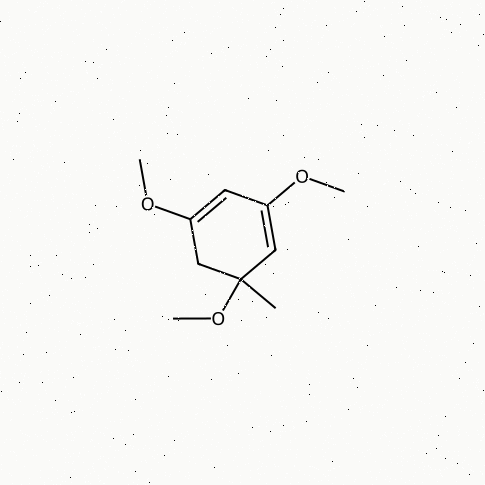 COC1=CC(C)(OC)CC(OC)=C1